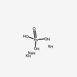 O=[As](O)(O)O.[KH].[KH].[NaH]